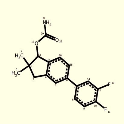 CC1(C)Cc2cc(-c3ccc(F)c(F)c3)ccc2C1OC(N)=O